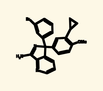 COc1ccc(C2(c3cccc(Br)c3)N=C(N)c3ncccc32)cc1C1CC1